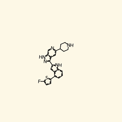 Fc1ccc(-c2cccc3[nH]c(-c4n[nH]c5cnc(C6CCNCC6)cc45)cc23)s1